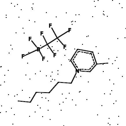 CCCCCC[n+]1cccc(C)c1.F[B-](F)(F)C(F)(F)C(F)(F)F